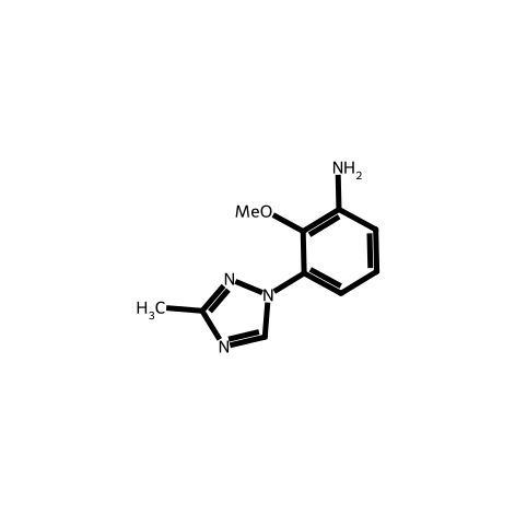 COc1c(N)cccc1-n1cnc(C)n1